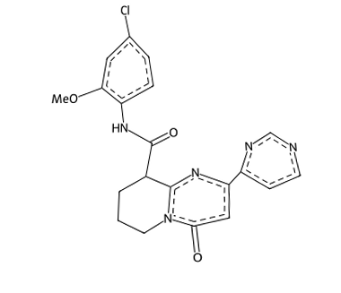 COc1cc(Cl)ccc1NC(=O)C1CCCn2c1nc(-c1ccncn1)cc2=O